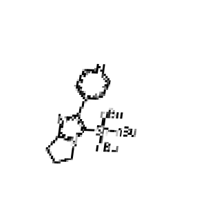 CCC[CH2][Sn]([CH2]CCC)([CH2]CCC)[c]1c(-c2ccncc2)nc2n1CCC2